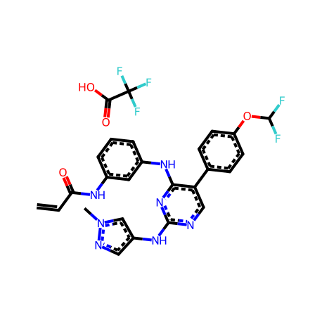 C=CC(=O)Nc1cccc(Nc2nc(Nc3cnn(C)c3)ncc2-c2ccc(OC(F)F)cc2)c1.O=C(O)C(F)(F)F